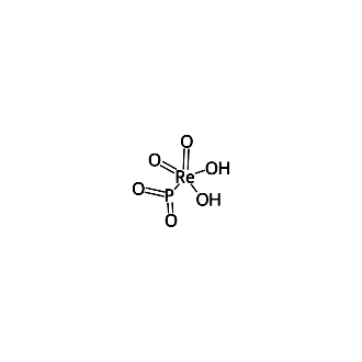 O=[P](=O)[Re](=[O])(=[O])([OH])[OH]